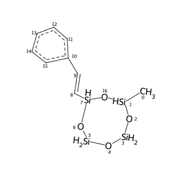 C[SiH]1O[SiH2]O[SiH2]O[SiH](C=Cc2ccccc2)O1